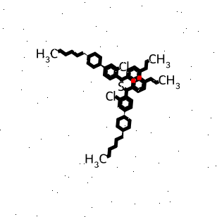 CCCCCC[C@H]1CC[C@H](c2ccc(C(SC(c3ccc(CCC)cc3)c3ccc([C@H]4CC[C@H](CCCCCC)CC4)cc3Cl)c3ccc(CCC)cc3)c(Cl)c2)CC1